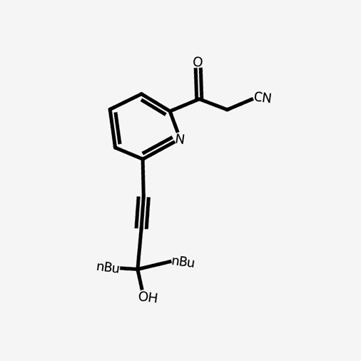 CCCCC(O)(C#Cc1cccc(C(=O)CC#N)n1)CCCC